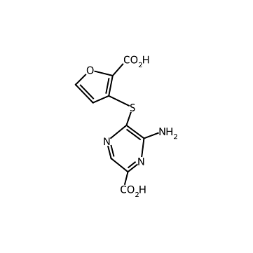 Nc1nc(C(=O)O)cnc1Sc1ccoc1C(=O)O